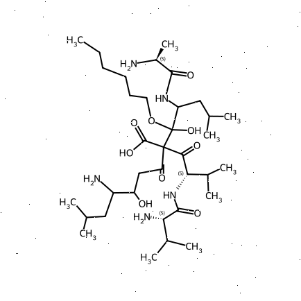 CCCCCCOC(O)(C(CC(C)C)NC(=O)[C@H](C)N)C(C(=O)O)(C(=O)CC(O)C(N)CC(C)C)C(=O)[C@@H](NC(=O)[C@@H](N)C(C)C)C(C)C